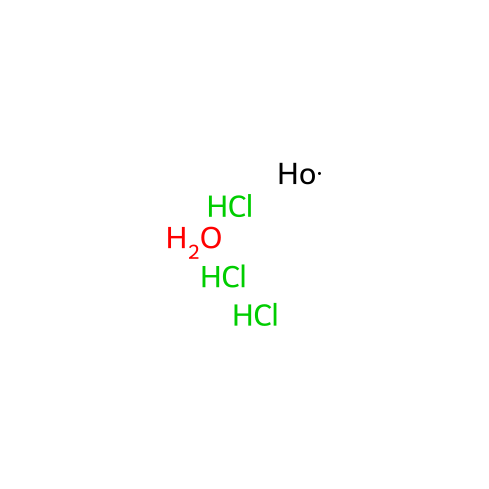 Cl.Cl.Cl.O.[Ho]